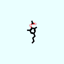 CCCCc1cc(C)c(OC(C)=O)c(C)c1